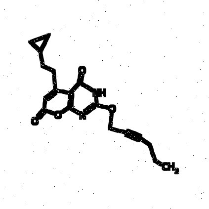 CCCC#CCOc1nc2oc(=O)cc(CCC3CC3)c2c(=O)[nH]1